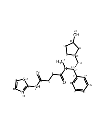 CN(C(=O)CCC(=O)Nc1nccs1)[C@H](CN1CCC(O)C1)c1ccccc1